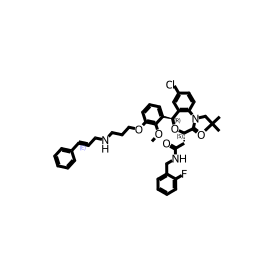 COc1c(OCCCNC/C=C/c2ccccc2)cccc1[C@@H]1O[C@@H](CC(=O)NCc2ccccc2F)C(=O)N(CC(C)(C)C)c2ccc(Cl)cc21